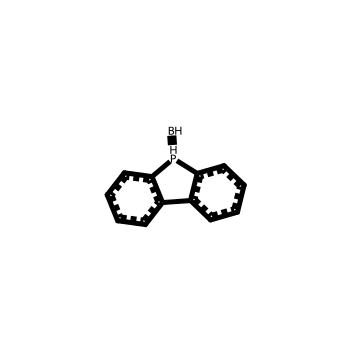 B=[PH]1c2ccccc2-c2ccccc21